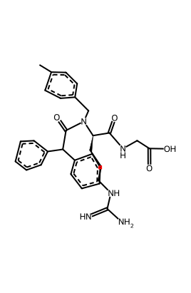 Cc1ccc(CN(C(=O)C(c2ccccc2)c2ccccc2)[C@H](CCCNC(=N)N)C(=O)NCC(=O)O)cc1